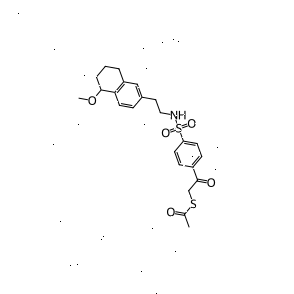 COC1CCCc2cc(CCNS(=O)(=O)c3ccc(C(=O)CSC(C)=O)cc3)ccc21